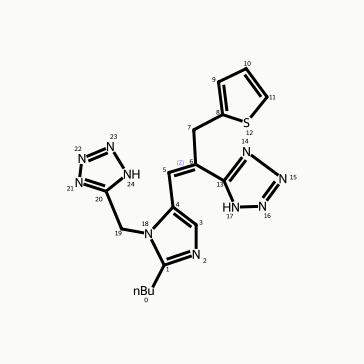 CCCCc1ncc(/C=C(/Cc2cccs2)c2nnn[nH]2)n1Cc1nnn[nH]1